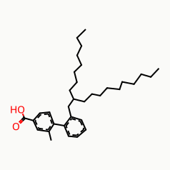 CCCCCCCCCCC(CCCCCCCC)Cc1ccccc1-c1ccc(C(=O)O)cc1C